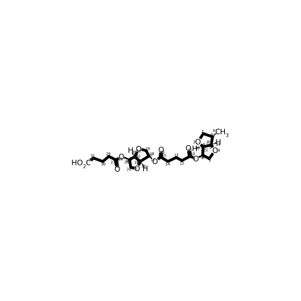 C[C@H]1CO[C@H]2[C@@H]1OC[C@H]2OC(=O)CCCC(=O)O[C@H]1CO[C@H]2[C@@H]1OC[C@H]2OC(=O)CCCC(=O)O